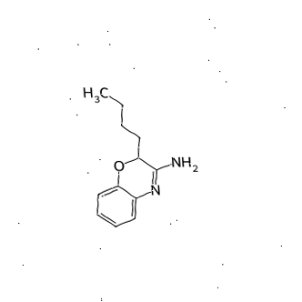 CCCCC1Oc2ccccc2N=C1N